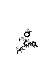 Cc1ccn(-c2nc(NC3CCC(F)(F)CC3)cc(OCC(F)(F)F)n2)n1